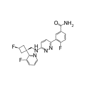 NC(=O)c1ccc(F)c(-c2ccc(NC[C@]3(c4ncccc4F)C[C@H](F)C3)nn2)c1